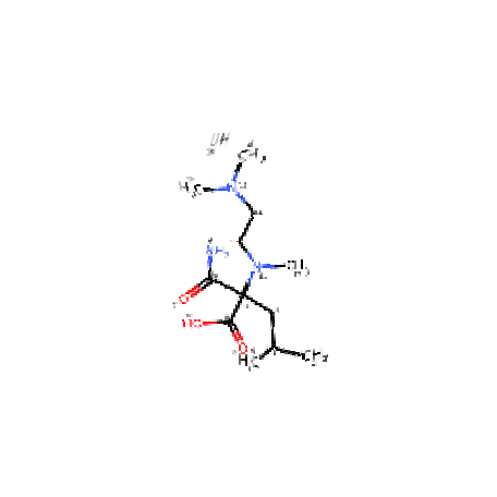 CC(C)CC(C(N)=O)(C(=O)O)N(C)CCN(C)C.[LiH]